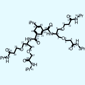 CC(C)NC(=O)CCOCC(COCCC(=O)NC(C)C)NC(=O)c1cc(C(=O)NC(COCCC(=O)NC(C)C)COCC(=O)NC(C)C)cc(C(C)C)c1